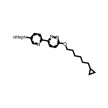 CCCCCCCc1ccc(-c2ccc(OCCCCCCC3CC3)nn2)nc1